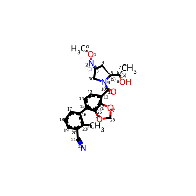 CO/N=C1\C[C@@H]([C@H](C)O)N(C(=O)c2ccc(-c3cccc(C#N)c3C)c3c2OCO3)C1